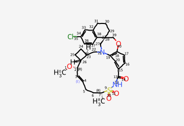 CO[C@H]1/C=C/CC[C@@H](C)S(=O)(=O)NC(=O)c2ccc3c(c2)N(C[C@@H]2CC[C@H]21)C[C@@]1(CCCc2cc(Cl)ccc21)CO3